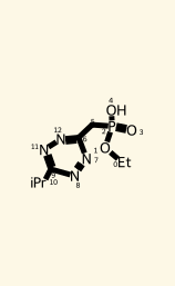 CCOP(=O)(O)Cc1nnc(C(C)C)nn1